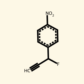 C#CC(F)c1ccc([N+](=O)[O-])cc1